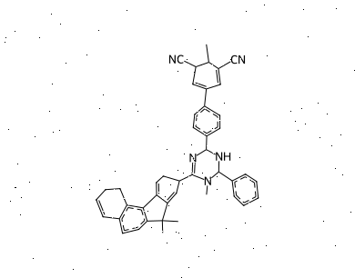 CC1C(C#N)=CC(c2ccc(C3N=C(C4C=C5C(=CC4)c4c(ccc6c4CCC=C6)C5(C)C)N(C)C(c4ccccc4)N3)cc2)=CC1C#N